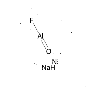 [N].[NaH].[O]=[Al][F]